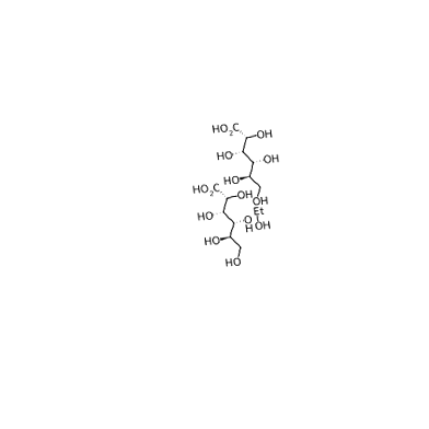 CCO.O=C(O)[C@H](O)[C@@H](O)[C@H](O)[C@H](O)CO.O=C(O)[C@H](O)[C@@H](O)[C@H](O)[C@H](O)CO